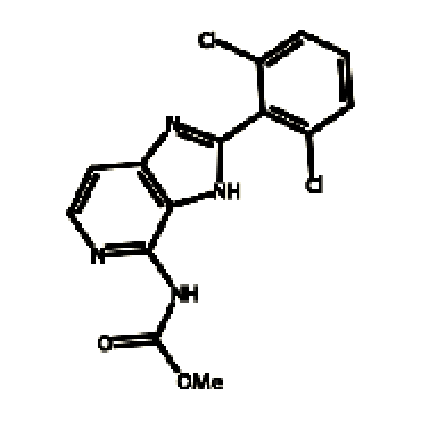 COC(=O)Nc1nccc2nc(-c3c(Cl)cccc3Cl)[nH]c12